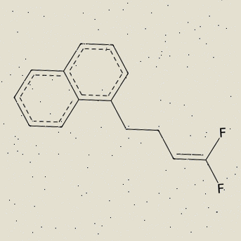 FC(F)=CCCc1cccc2ccccc12